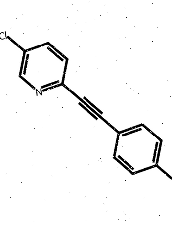 CCc1ccc(C#Cc2ccc(Cl)cn2)cc1